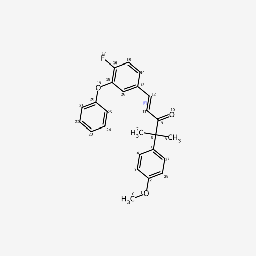 COc1ccc(C(C)(C)C(=O)/C=C/c2ccc(F)c(Oc3ccccc3)c2)cc1